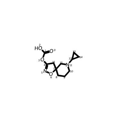 O=C(O)OC1=NOC2(CCCN(C3CC3)C2)C1